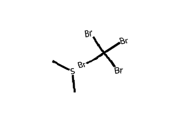 BrC(Br)(Br)Br.CSC